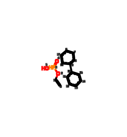 C=CO[PH](=O)O.c1ccc(-c2ccccc2)cc1